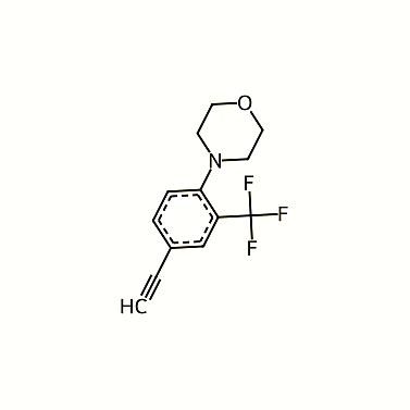 C#Cc1ccc(N2CCOCC2)c(C(F)(F)F)c1